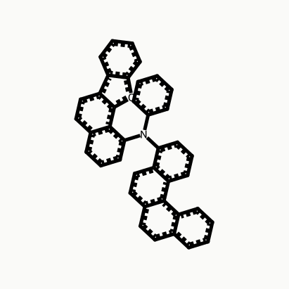 c1ccc(N(c2cccc3c2ccc2ccc4ccccc4c23)c2cccc3ccc4c5ccccc5oc4c23)cc1